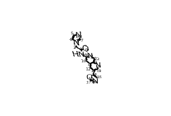 O=C(Cn1ccnc1)Nc1cc2cc(-c3cnco3)cnc2cn1